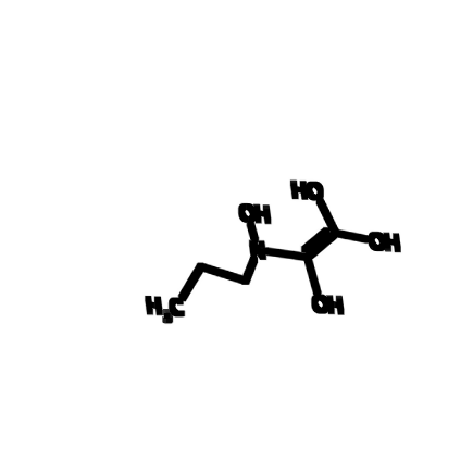 CCCN(O)C(O)=C(O)O